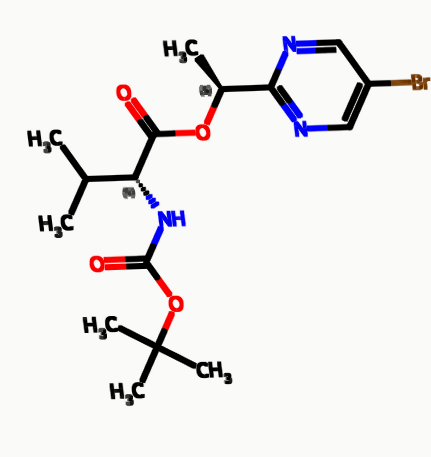 CC(C)[C@@H](NC(=O)OC(C)(C)C)C(=O)O[C@@H](C)c1ncc(Br)cn1